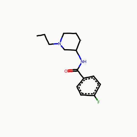 CCCN1CC[CH]C(NC(=O)c2ccc(F)cc2)C1